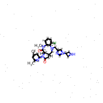 Cc1cc(C(F)(F)F)cc(N2C(=O)C[C@@H]3CN(Cc4cn(C5CNC5)cn4)c4c(F)cccc4N(C)C(=O)[C@H]32)n1